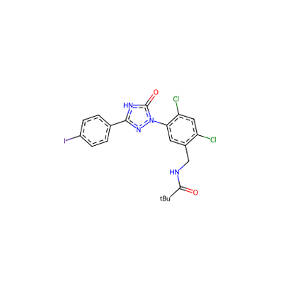 CC(C)(C)C(=O)NCc1cc(-n2nc(-c3ccc(I)cc3)[nH]c2=O)c(Cl)cc1Cl